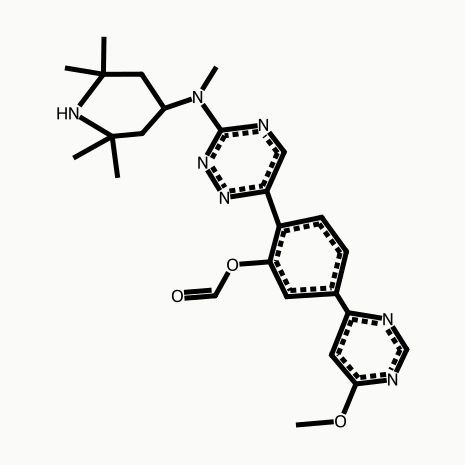 COc1cc(-c2ccc(-c3cnc(N(C)C4CC(C)(C)NC(C)(C)C4)nn3)c(OC=O)c2)ncn1